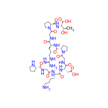 C[C@@H](O)[C@H](NC(=O)[C@@H]1CCCN1C(=O)CNC(=O)[C@H](CCCNC(=N)N)NC(=O)[C@@H]1CCCN1C(=O)CNC(=O)[C@H](CC(=O)O)NC(=O)[C@H](CCCCN)NC(=O)CNC(=O)[C@@H]1CCCN1)C(=O)O